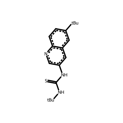 CC(C)(C)NC(=S)Nc1cnc2ccc(C(C)(C)C)cc2c1